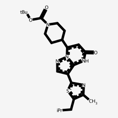 Cc1nc(-c2cnn3c(C4CCN(C(=O)OC(C)(C)C)CC4)cc(=O)[nH]c23)sc1CC(C)C